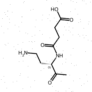 CC(=O)[C@H](CCN)NC(=O)CCC(=O)O